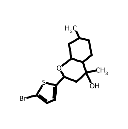 CC1CCC2C(C1)OC(c1ccc(Br)s1)CC2(C)O